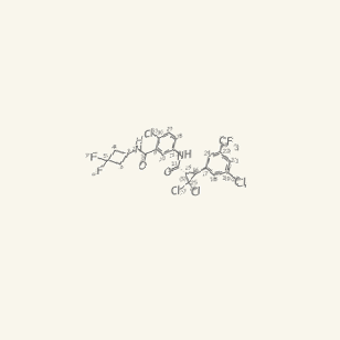 O=C(NC1CC(F)(F)C1)c1cc(NC(=O)[C@@H]2[C@@H](c3cc(Cl)cc(C(F)(F)F)c3)C2(Cl)Cl)ccc1Cl